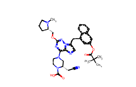 CN1CCC[C@H]1COc1nc(N2CCN(C(=O)O)[C@@H](CC#N)C2)c2ncc(Cc3cc(OC(=O)C(C)(C)C)cc4ccccc34)n2n1